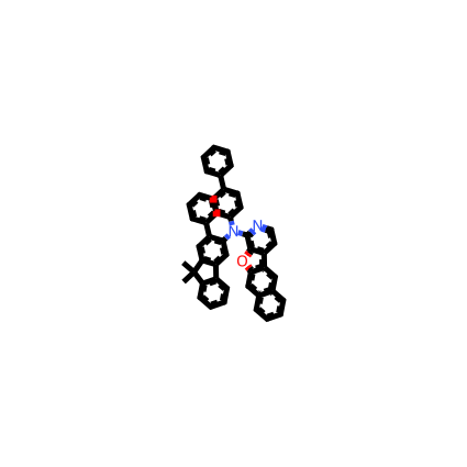 CC1(C)c2ccccc2-c2cc(N(c3ccc(-c4ccccc4)cc3)c3nccc4c3oc3cc5ccccc5cc34)c(-c3ccccc3)cc21